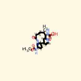 COC(=O)Nc1ccc2c(c1)NC(=O)C/C=C/C(C)[C@H](NC(=O)O)c1cc-2ccn1